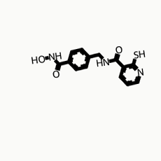 O=C(NO)c1ccc(CNC(=O)c2cccnc2S)cc1